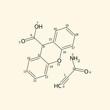 C#CC(N)=O.O=C(O)C1c2ccccc2Oc2ccccc21